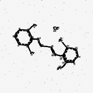 CC(C)c1cccc(C(C)C)c1N=CC=Nc1c(C(C)C)cccc1C(C)C.[Co]